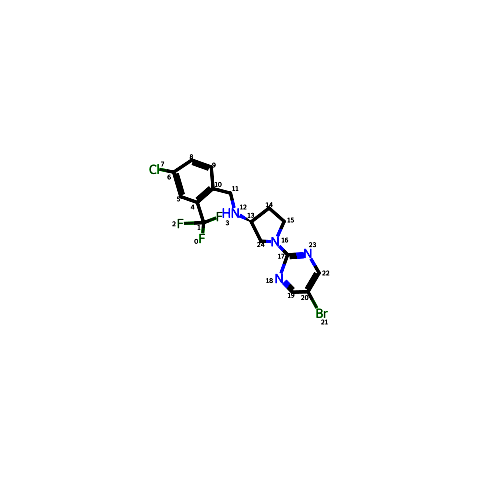 FC(F)(F)c1cc(Cl)ccc1CN[C@H]1CCN(c2ncc(Br)cn2)C1